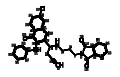 C#CCC(NCCCN1C(=O)c2ccccc2C1=O)c1nc2cc(Cl)ccc2c(=O)n1Nc1ccccc1